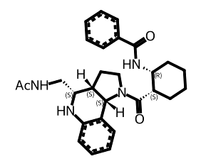 CC(=O)NC[C@H]1Nc2ccccc2[C@@H]2[C@H]1CCN2C(=O)[C@H]1CCCC[C@H]1NC(=O)c1ccccc1